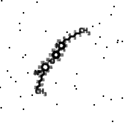 CCCCCCCc1ccc(-c2ccc(OC[C@H]3CC[C@@](C#N)(CCCCCCC)CC3)cc2)nc1